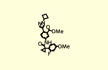 COC(=O)c1cc(NC(=O)C2(c3ccc(OC)cc3F)CC2)ccc1-c1cnn(C2CCC2)c1